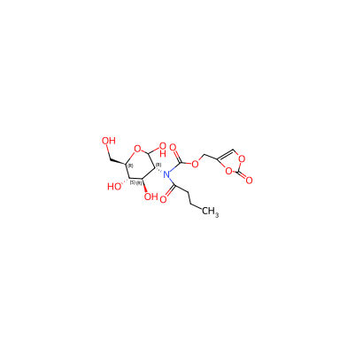 CCCC(=O)N(C(=O)OCc1coc(=O)o1)[C@H]1C(O)O[C@H](CO)[C@@H](O)[C@@H]1O